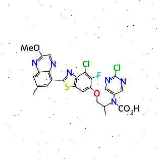 COc1cnc2c(-c3nc4c(Cl)c(F)c(OCC(C)N(C(=O)O)c5cnc(Cl)nc5)cc4s3)cc(C)cc2n1